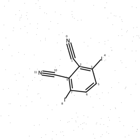 N#Cc1c(I)ccc(I)c1C#N